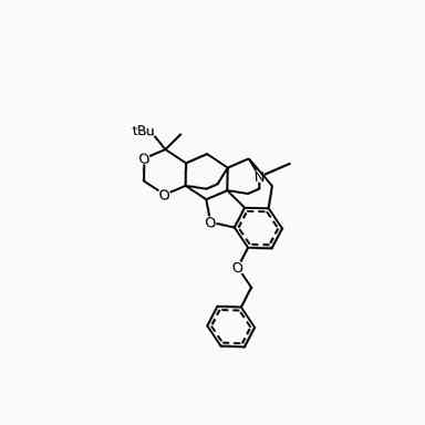 CN1CCC23c4c5ccc(OCc6ccccc6)c4OC2C24CCC3(CC2C(C)(C(C)(C)C)OCO4)C1C5